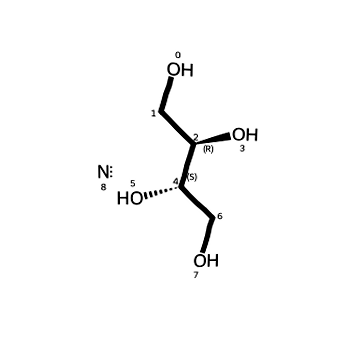 OC[C@@H](O)[C@@H](O)CO.[N]